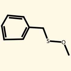 COSCc1ccccc1